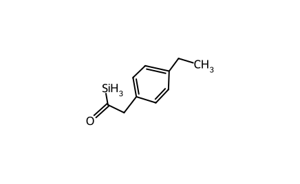 CCc1ccc(CC(=O)[SiH3])cc1